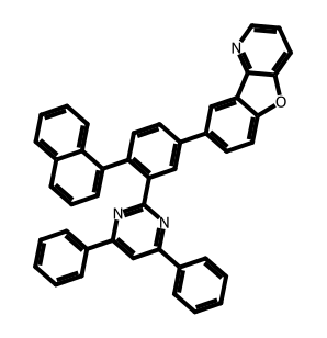 c1ccc(-c2cc(-c3ccccc3)nc(-c3cc(-c4ccc5oc6cccnc6c5c4)ccc3-c3cccc4ccccc34)n2)cc1